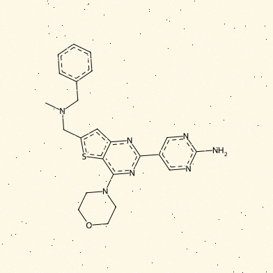 CN(Cc1ccccc1)Cc1cc2nc(-c3cnc(N)nc3)nc(N3CCOCC3)c2s1